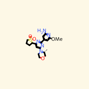 COc1cc(-c2nc(C3CCCS3(=O)=O)cc(N3CCOC[C@H]3C)n2)cc(N)n1